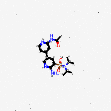 CC(=O)Nc1cc(-c2cnc(N)c(S(=O)(=O)N(C(C)C)C(C)C)c2)ccn1